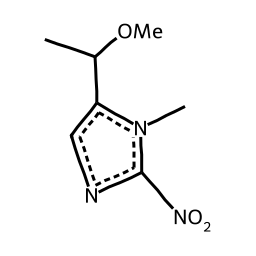 COC(C)c1cnc([N+](=O)[O-])n1C